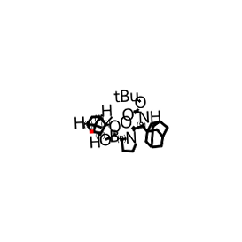 CC(C)(C)OC(=O)N[C@H](C(=O)N1CCC[C@H]1B1O[C@@H]2C[C@@H]3C[C@@H](C3(C)C)[C@]2(C)O1)C12CC3CC(CC(C3)C1)C2